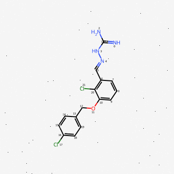 N=C(N)NN=Cc1cccc(OCc2ccc(Cl)cc2)c1Cl